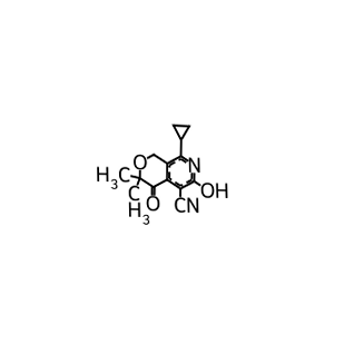 CC1(C)OCc2c(C3CC3)nc(O)c(C#N)c2C1=O